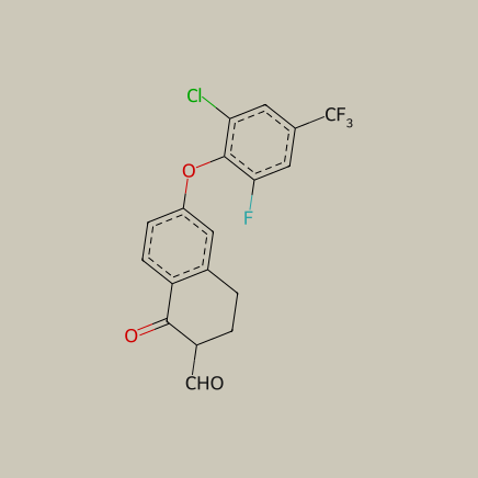 O=CC1CCc2cc(Oc3c(F)cc(C(F)(F)F)cc3Cl)ccc2C1=O